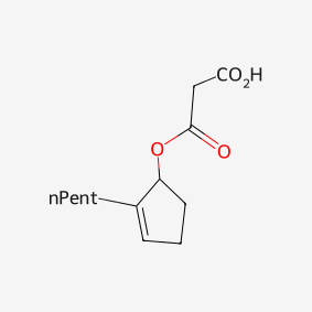 CCCCCC1=CCCC1OC(=O)CC(=O)O